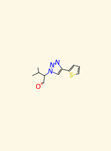 CC(C)C(C=O)n1cc(-c2cccs2)nn1